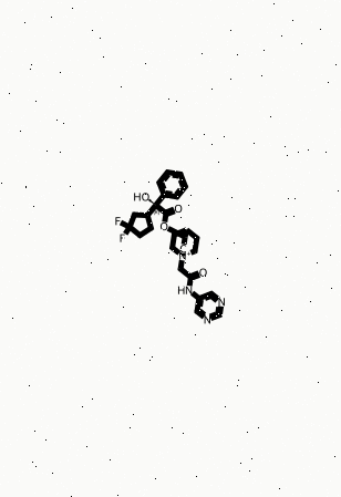 O=C(C[N+]12CCC(CC1)C(OC(=O)[C@](O)(c1ccccc1)C1CCC(F)(F)C1)C2)Nc1cncnc1